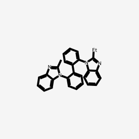 CCc1nc2ccccc2n1-c1ccccc1-c1ccccc1-n1c(C)nc2ccccc21